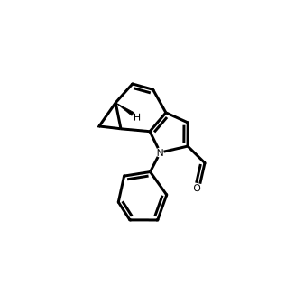 O=Cc1cc2c(n1-c1ccccc1)C1C[C@@H]1C=C2